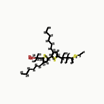 C=C(SCC)C(C)(C)C(C)(C)c1cc(CCCCCC)c(-c2cc(CCCCCC)c(C(C)(C)Br)s2)s1